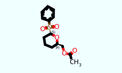 CC(=O)OC[C@H]1CCC[C@H](S(=O)(=O)c2ccccc2)O1